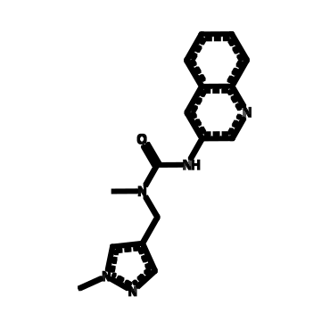 CN(Cc1cnn(C)c1)C(=O)Nc1cnc2ccccc2c1